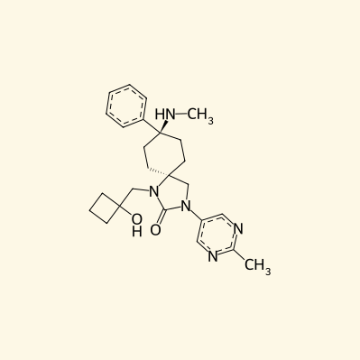 CN[C@]1(c2ccccc2)CC[C@]2(CC1)CN(c1cnc(C)nc1)C(=O)N2CC1(O)CCC1